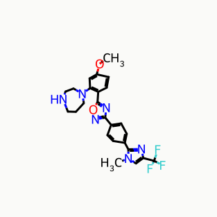 COc1ccc(-c2nc(-c3ccc(-c4nc(C(F)(F)F)cn4C)cc3)no2)c(N2CCCNCC2)c1